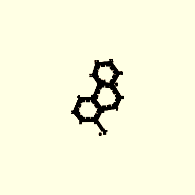 [Ir][c]1cccc2c1ccc1ccccc12